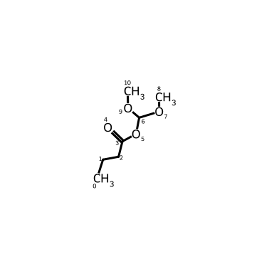 CCCC(=O)OC(OC)OC